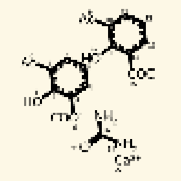 CC(=O)c1cccc(C(=O)[O-])c1O.CC(=O)c1cccc(C(=O)[O-])c1O.NC(N)=O.[Ca+2]